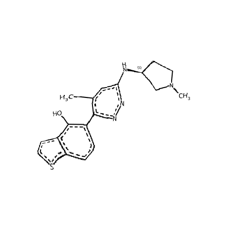 Cc1cc(N[C@H]2CCN(C)C2)nnc1-c1ccc2sccc2c1O